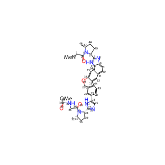 CNCC(=O)N1C(c2nc3ccc4cc5c(cc4c3[nH]2)OCc2cc(-c3cnc([C@@H]4CC[C@H](C)N4C(=O)CNC(=O)OC)[nH]3)ccc2-5)CC[C@@H]1C